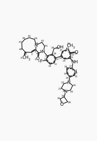 C=C1/C=C2/C(=O)N(c3c(F)ccc(-c4cc(Nc5ccc(N6CCN(C7COC7)CC6)cn5)c(=O)n(C)c4)c3CO)CCN2CCCCC1